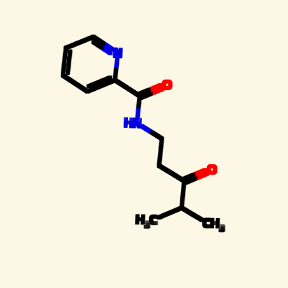 CC(C)C(=O)CCNC(=O)c1ccccn1